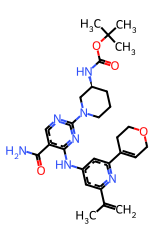 C=C(C)c1cc(Nc2nc(N3CCC[C@H](NC(=O)OC(C)(C)C)C3)ncc2C(N)=O)cc(C2=CCOCC2)n1